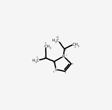 CC(C)C1SC=CN1C(C)C